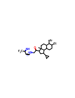 CCCC1C(CC)CCC2C1CCC1(C)C(C(=O)CN/C=C\C(=N)C(F)(F)F)CC(C3CC3)C21